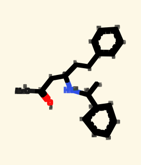 COC(=O)CC(CCc1ccccc1)NC(C)c1ccccc1